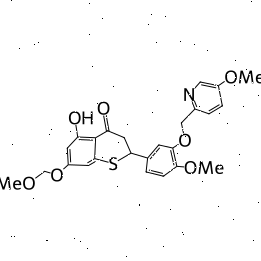 COCOc1cc(O)c2c(c1)SC(c1ccc(OC)c(OCc3ccc(OC)cn3)c1)CC2=O